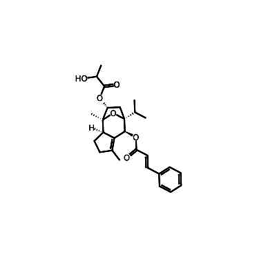 CC1=C2[C@@H](CC1)[C@]1(C)O[C@@](C(C)C)(C[C@H]1OC(=O)C(C)O)[C@H]2OC(=O)C=Cc1ccccc1